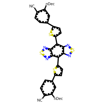 CCCCCCCCCCc1cc(-c2ccc(-c3c4c(c(-c5ccc(-c6ccc(C#N)c(CCCCCCCCCC)c6)s5)c5nsnc35)N=S=N4)s2)ccc1C#N